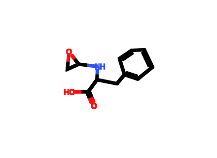 O=C(O)C(Cc1ccccc1)NC1CO1